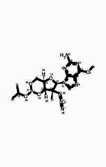 COc1nc(N)nc2c1ncn2[C@@H]1O[C@@H]2COP(OC(C)C)O[C@H]2[C@@]1(C)N=[N+]=[N-]